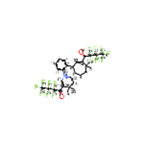 CC1(C)CCCC(c2ccccc2N2C=C(C(=O)C(F)(F)C(F)(F)C(F)(F)F)C(C)(C)CC2)C=C1C(=O)C(F)(F)C(F)(F)C(F)(F)F